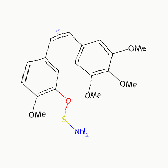 COc1ccc(/C=C\c2cc(OC)c(OC)c(OC)c2)cc1OSN